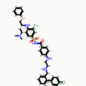 CN(C)CC[C@H](CSc1ccccc1)Nc1ccc(S(=O)(=O)NC(=O)c2ccc(NCCNCc3ccccc3-c3ccc(Cl)cc3)cc2)cc1F